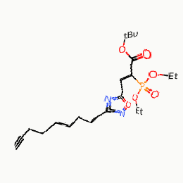 C#CCCCCCCc1noc(CC(C(=O)OC(C)(C)C)P(=O)(OCC)OCC)n1